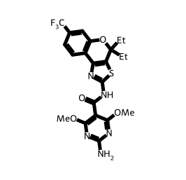 CCC1(CC)Oc2cc(C(F)(F)F)ccc2-c2nc(NC(=O)c3c(OC)nc(N)nc3OC)sc21